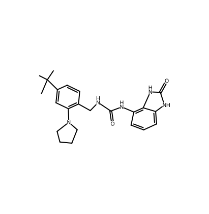 CC(C)(C)c1ccc(CNC(=O)Nc2cccc3[nH]c(=O)[nH]c23)c(N2CCCC2)c1